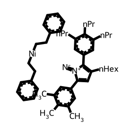 CCCCCCC1=C(c2cc(CCC)c(CCC)c(CCC)c2)[N+](=[N-])C(c2cc(C)c(C)c(C)c2)=C1.c1ccc(C[CH2][Ni][CH2]Cc2ccccc2)cc1